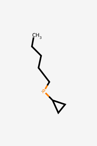 CCCCC[P]C1CC1